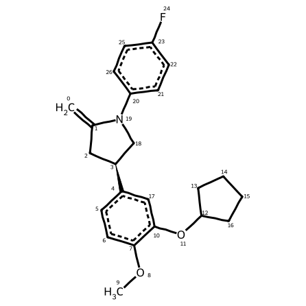 C=C1C[C@H](c2ccc(OC)c(OC3CCCC3)c2)CN1c1ccc(F)cc1